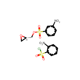 O=[N+]([O-])c1cccc(S(=O)(=O)OC[C@@H]2CO2)c1.O=[N+]([O-])c1ccccc1S(=O)(=O)Cl